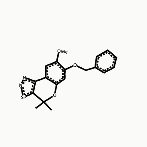 COc1cc2c(cc1OCc1ccccc1)OC(C)(C)c1[se]nnc1-2